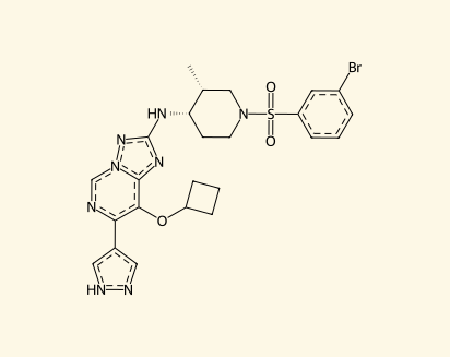 C[C@@H]1CN(S(=O)(=O)c2cccc(Br)c2)CC[C@@H]1Nc1nc2c(OC3CCC3)c(-c3cn[nH]c3)ncn2n1